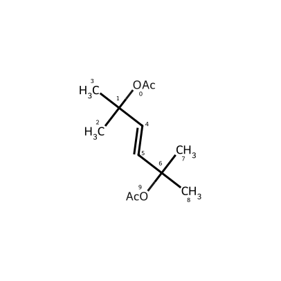 CC(=O)OC(C)(C)C=CC(C)(C)OC(C)=O